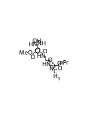 CCCOC(=O)c1sc(NC(=O)CCNC(=O)c2cc(C(=N)NO)cc(C(=O)OC)c2)nc1C